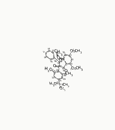 COc1cc(OC)c(C(=O)P(=O)(C(=O)c2ccccc2)c2c(C)cc(C(C)(C)C)cc2C)c(OC)c1